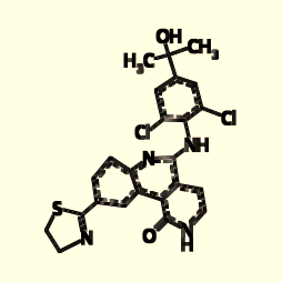 CC(C)(O)c1cc(Cl)c(Nc2nc3ccc(C4=NCCS4)cc3c3c(=O)[nH]ccc23)c(Cl)c1